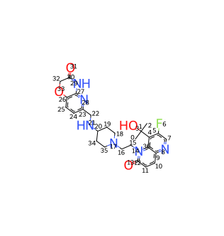 CC(C)(O)c1c(F)cnc2ccc(=O)n(CCN3CCC(NCc4ccc5c(n4)NC(=O)CO5)CC3)c12